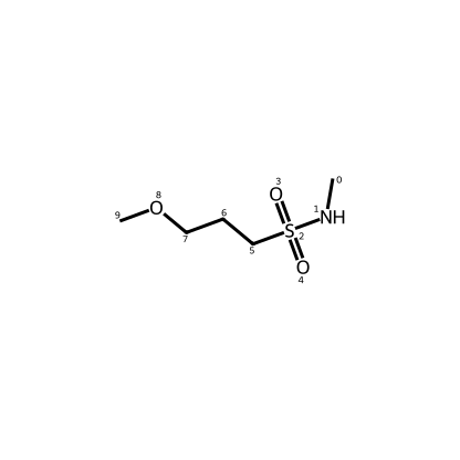 CNS(=O)(=O)CCCOC